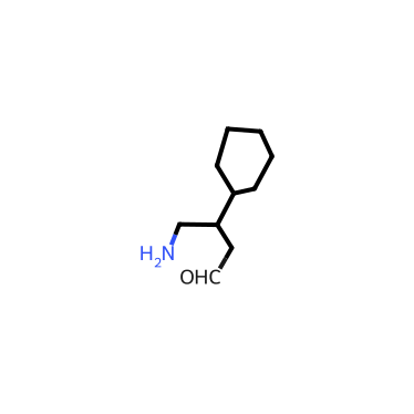 NCC(CC=O)C1CCCCC1